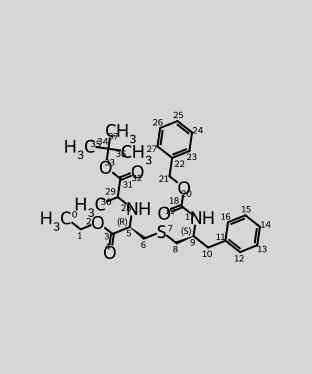 CCOC(=O)[C@H](CSC[C@H](Cc1ccccc1)NC(=O)OCc1ccccc1)NC(C)C(=O)OC(C)(C)C